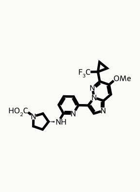 COc1cc2ncc(-c3cccc(N[C@@H]4CCN(C(=O)O)C4)n3)n2nc1C1(C(F)(F)F)CC1